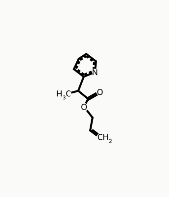 C=CCOC(=O)C(C)c1ccccn1